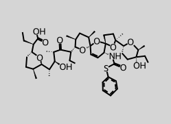 CCC(C(=O)[C@@H](C)[C@@H](O)[C@H](C)[C@@H]1O[C@@H]([C@@H](CC)C(=O)O)CC[C@@H]1C)[C@H]1O[C@]2(C=C[C@@H](NC(=O)Sc3ccccc3)[C@]3(CC[C@@](C)([C@H]4CC[C@](O)(CC)[C@H](C)O4)O3)O2)[C@H](C)C[C@@H]1C